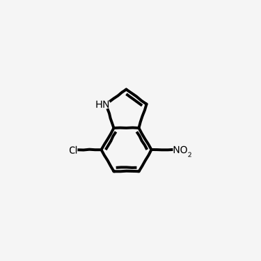 O=[N+]([O-])c1ccc(Cl)c2[nH]ccc12